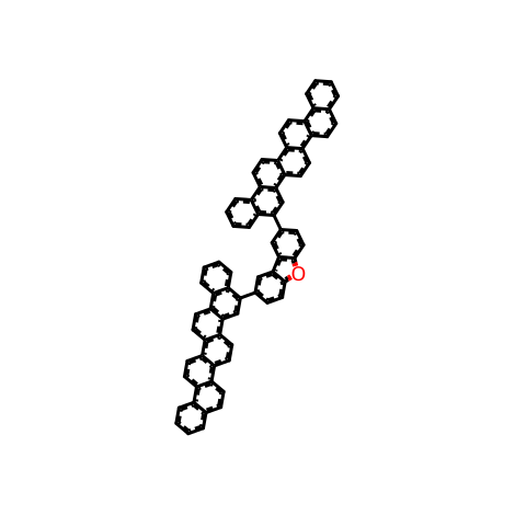 c1ccc2c(c1)ccc1c2ccc2c1ccc1c3cc(-c4ccc5oc6ccc(-c7cc8c(ccc9c8ccc8c%10ccc%11ccccc%11c%10ccc89)c8ccccc78)cc6c5c4)c4ccccc4c3ccc12